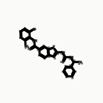 Cc1cccc(Cl)c1NC(=O)c1ccc2nc(NC(=O)NC(C)c3cccnc3)sc2c1